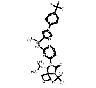 [2H]C([2H])([2H])N1C(=O)N(c2ccnc(N[C@@H](C)c3cn(-c4ccc(C(F)(F)F)cc4)cn3)n2)[C@@H](C(C)C)C12COC2